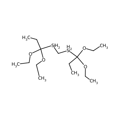 CCOC(CC)(OCC)[SiH2]C[SiH2]C(CC)(OCC)OCC